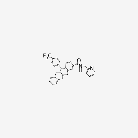 O=C(NCc1ccccn1)c1ccc2c(-c3ccc(C(F)(F)F)cc3)c3cc4ccccc4cc3cc2c1